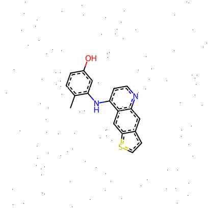 Cc1ccc(O)cc1Nc1ccnc2cc3ccsc3cc12